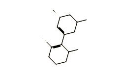 CC1CC(C2=C(N)CCCC2C)=C[C@@H](C)C1